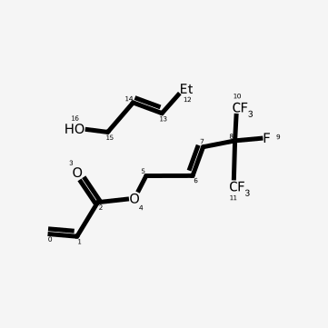 C=CC(=O)OCC=CC(F)(C(F)(F)F)C(F)(F)F.CCC=CCO